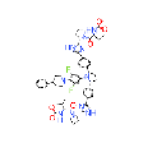 COC(=O)N[C@H](C(=O)N1CCC[C@H]1c1nc(-c2ccc([C@H]3CC[C@H](c4ccc(-c5c[nH]c([C@@H]6CCCN6C(=O)[C@@H](NC(=O)OC)C(C)C)n5)cc4)N3c3cc(F)c(N4CCC(c5ccccc5)CC4)c(F)c3)cc2)c[nH]1)C(C)C